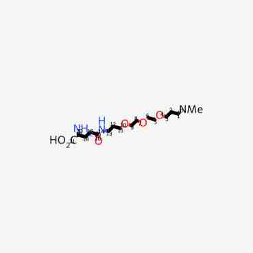 CNCCCOCCOCCOCCCNC(=O)CC[C@H](N)C(=O)O